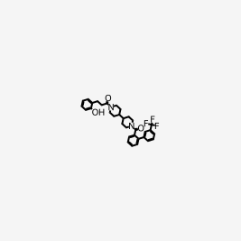 O=C(CCc1ccccc1O)N1CCC(C2CCN(C(=O)c3ccccc3-c3cccc(C(F)(F)F)c3)CC2)CC1